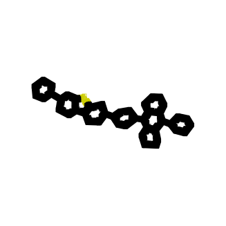 c1ccc(-c2ccc3c(c2)sc2cc(-c4ccc(-c5c6ccccc6c(-c6ccccc6)c6ccccc56)cc4)ccc23)cc1